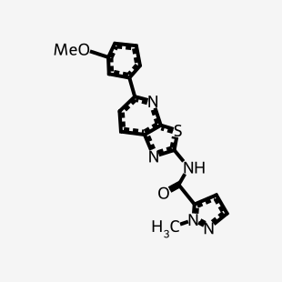 COc1cccc(-c2ccc3nc(NC(=O)c4ccnn4C)sc3n2)c1